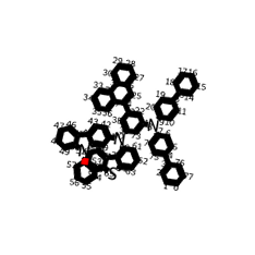 c1ccc(-c2ccc(N(c3ccc(-c4ccccc4)cc3)c3cc(-c4cc5ccccc5c5ccccc45)cc(N(c4ccc5c6ccccc6n(-c6ccccc6)c5c4)c4cccc5sc6ccccc6c45)c3)cc2)cc1